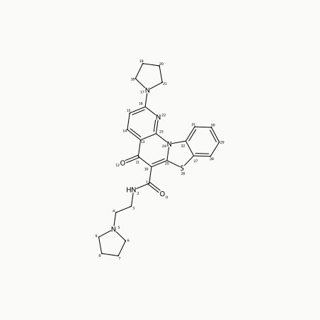 O=C(NCCN1CCCC1)c1c(=O)c2ccc(N3CCCC3)nc2n2c1sc1ccccc12